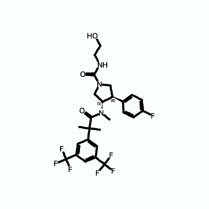 CN(C(=O)C(C)(C)c1cc(C(F)(F)F)cc(C(F)(F)F)c1)[C@@H]1CN(C(=O)NCCO)C[C@H]1c1ccc(F)cc1